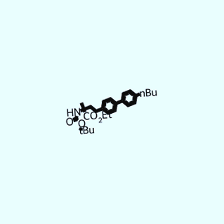 CCCCc1ccc(-c2ccc(CCC(C)(NC(=O)OC(C)(C)C)C(=O)OCC)cc2)cc1